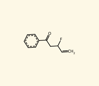 C=CC(F)CC(=O)c1ccccc1